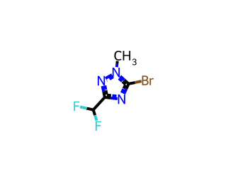 Cn1nc(C(F)F)nc1Br